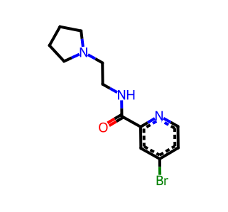 O=C(NCCN1CCCC1)c1cc(Br)ccn1